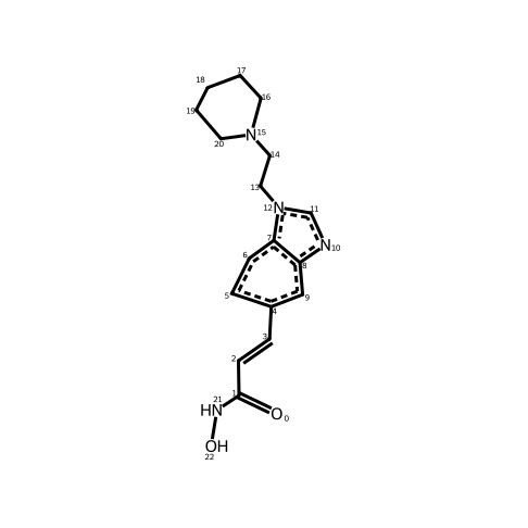 O=C(/C=C/c1ccc2c(c1)ncn2CCN1CCCCC1)NO